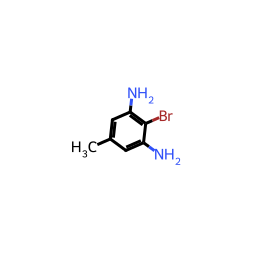 Cc1cc(N)c(Br)c(N)c1